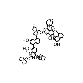 C#Cc1cccc2cc(O)cc(-c3ccc4c(N5CCCOCC5=O)nc(OC[C@@]56CC(c7cccc8c(-c9ccc%10c(N%11CC%12CCC(C%11)N%12)nc(OCC%11%12CCCN%11CCC%12)nc%10c9C)cc(O)cc78)CN5C[C@H](F)C6)nc4c3C)c12